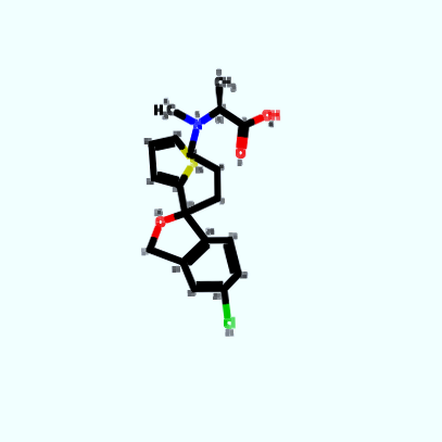 C[C@@H](C(=O)O)N(C)CCCC1(c2cccs2)OCc2cc(Cl)ccc21